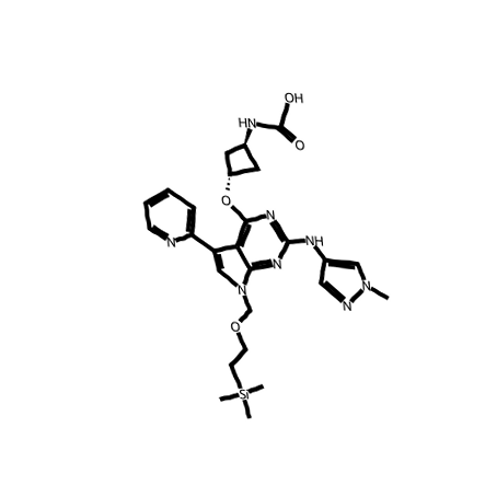 Cn1cc(Nc2nc(O[C@H]3C[C@H](NC(=O)O)C3)c3c(-c4ccccn4)cn(COCC[Si](C)(C)C)c3n2)cn1